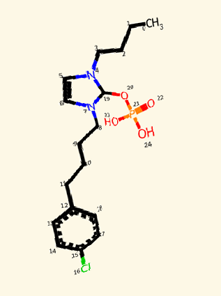 CCCCN1C=CN(CCCCc2ccc(Cl)cc2)C1OP(=O)(O)O